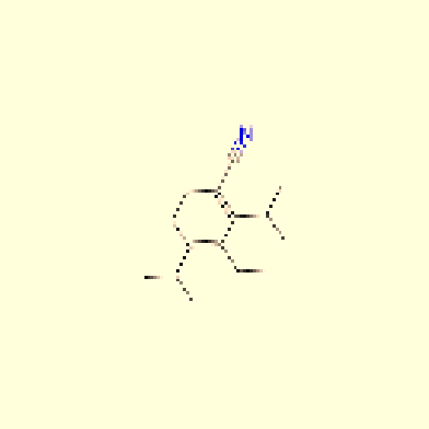 CCC1=C(C(C)C)CCC(C#N)=C1C(C)C